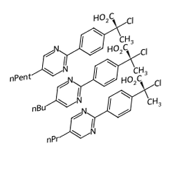 CCCCCc1cnc(-c2ccc([C@@](C)(Cl)C(=O)O)cc2)nc1.CCCCc1cnc(-c2ccc([C@@](C)(Cl)C(=O)O)cc2)nc1.CCCc1cnc(-c2ccc([C@@](C)(Cl)C(=O)O)cc2)nc1